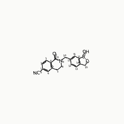 N#Cc1ccc2c(c1)CCN(Cc1ccc3c(c1)B(O)OC3)C2=O